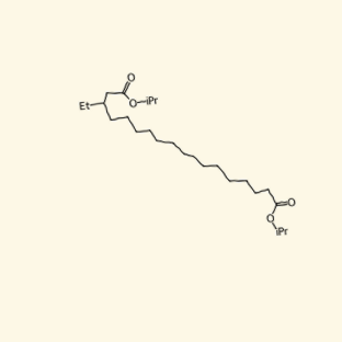 CCC(CCCCCCCCCCCCCCC(=O)OC(C)C)CC(=O)OC(C)C